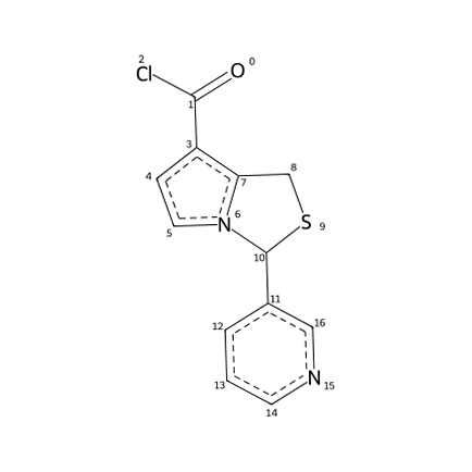 O=C(Cl)c1ccn2c1CSC2c1cccnc1